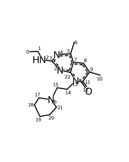 CCNc1nc(C)c2cc(C)c(=O)n(CCN3CCCCC3)c2n1